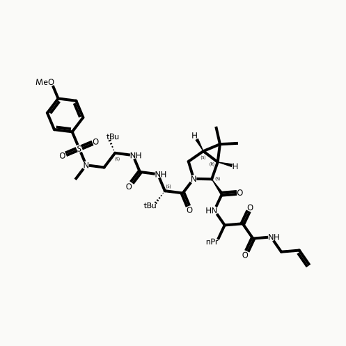 C=CCNC(=O)C(=O)C(CCC)NC(=O)[C@@H]1[C@@H]2[C@H](CN1C(=O)[C@@H](NC(=O)N[C@H](CN(C)S(=O)(=O)c1ccc(OC)cc1)C(C)(C)C)C(C)(C)C)C2(C)C